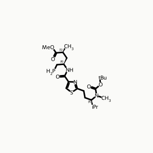 COC(=O)[C@@H](C)C[C@H](CP)NC(=O)c1csc(CC[C@H](C(C)C)N(C)C(=O)OC(C)(C)C)n1